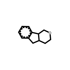 c1ccc2c(c1)CC1CCOCC21